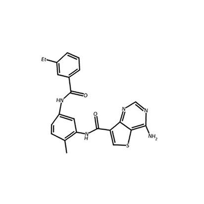 CCc1cccc(C(=O)Nc2ccc(C)c(NC(=O)c3csc4c(N)ncnc34)c2)c1